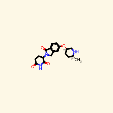 C[C@@H]1CC[C@@H](Oc2ccc3c(c2)CN(C2CCC(=O)NC2=O)C3=O)CN1